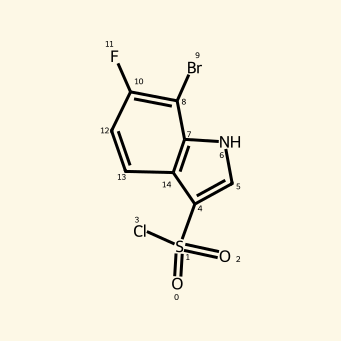 O=S(=O)(Cl)c1c[nH]c2c(Br)c(F)ccc12